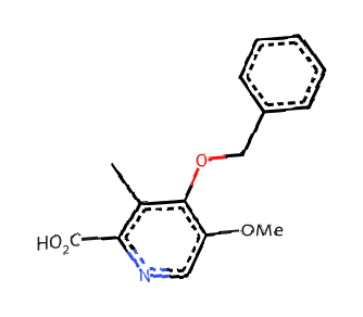 COc1cnc(C(=O)O)c(C)c1OCc1ccccc1